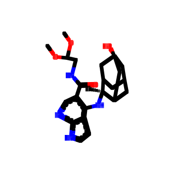 COC(CNC(=O)c1cnc2[nH]ccc2c1N[C@H]1C2CC3CC1C[C@@](O)(C3)C2)OC